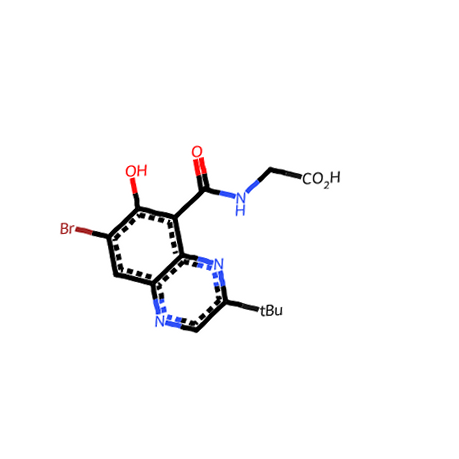 CC(C)(C)c1cnc2cc(Br)c(O)c(C(=O)NCC(=O)O)c2n1